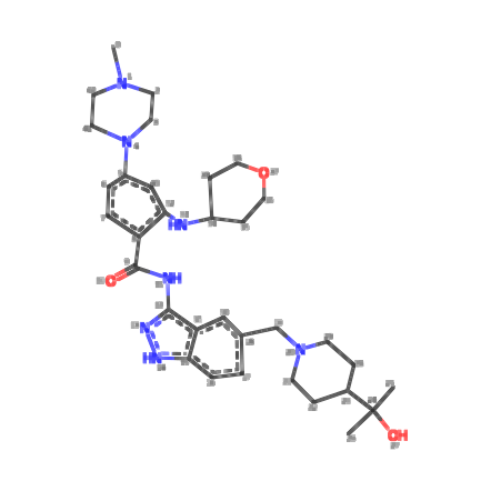 CN1CCN(c2ccc(C(=O)Nc3n[nH]c4ccc(CN5CCC(C(C)(C)O)CC5)cc34)c(NC3CCOCC3)c2)CC1